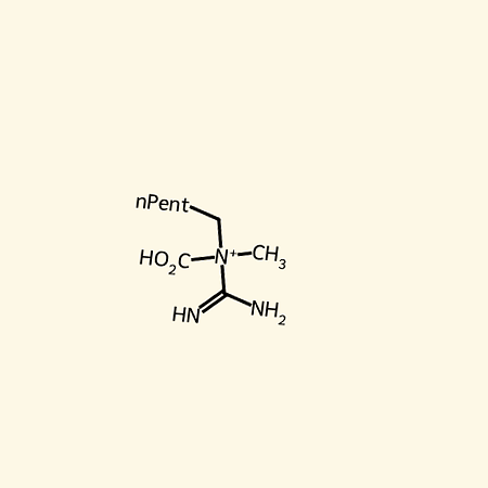 CCCCCC[N+](C)(C(=N)N)C(=O)O